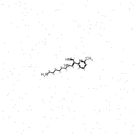 Cc1cccc(/C(C=N)=C/NCCCCCCN)n1